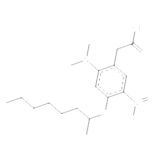 CCCCCCC(C)Oc1cc(N(C)C)c(CC(=O)O)cc1[N+](=O)[O-]